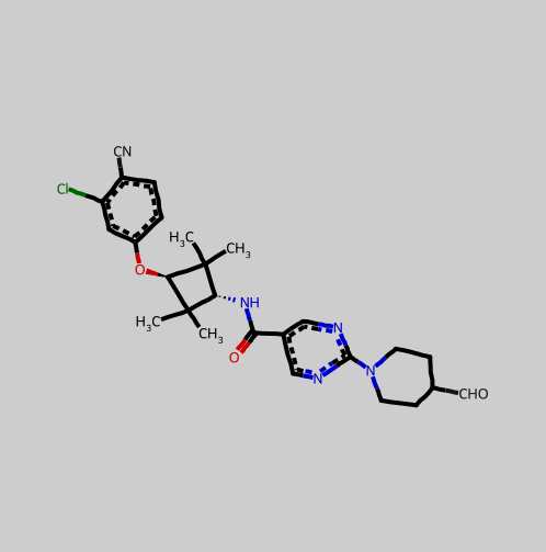 CC1(C)[C@H](NC(=O)c2cnc(N3CCC(C=O)CC3)nc2)C(C)(C)[C@H]1Oc1ccc(C#N)c(Cl)c1